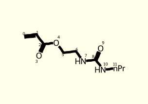 C=CC(=O)OCCNC(=O)NC[CH]C